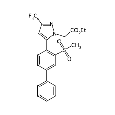 CCOC(=O)Cn1nc(C(F)(F)F)cc1-c1ccc(-c2ccccc2)cc1S(C)(=O)=O